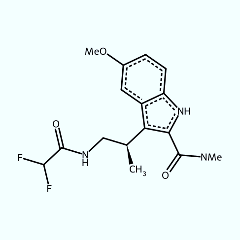 CNC(=O)c1[nH]c2ccc(OC)cc2c1[C@@H](C)CNC(=O)C(F)F